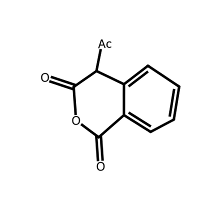 CC(=O)C1C(=O)OC(=O)c2ccccc21